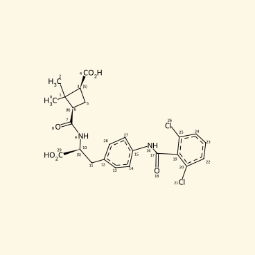 CC1(C)[C@@H](C(=O)O)C[C@H]1C(=O)N[C@@H](Cc1ccc(NC(=O)c2c(Cl)cccc2Cl)cc1)C(=O)O